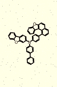 c1ccc(-c2ccc(N(c3ccc(-c4cccc5ccc6oc7ccccc7c6c45)cc3)c3ccc4c(c3)oc3ccccc34)cc2)cc1